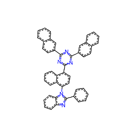 c1ccc(-c2nc3ccccc3n2-c2ccc(-c3nc(-c4ccc5ccccc5c4)nc(-c4ccc5ccccc5c4)n3)c3ccccc23)cc1